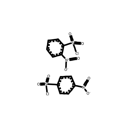 O=[N+]([O-])c1ccc(S(=O)(=O)Cl)cc1.O=[N+]([O-])c1ccccc1S(=O)(=O)Cl